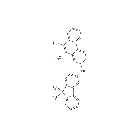 Cc1c(C)c2cc(Nc3ccc4c(c3)-c3ccccc3C4(C)C)ccc2c2ccccc12